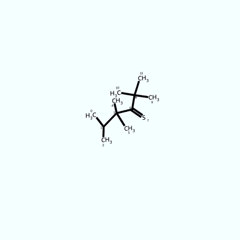 CC(C)C(C)(C)C(=S)C(C)(C)C